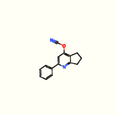 N#COc1cc(-c2ccccc2)nc2c1CCC2